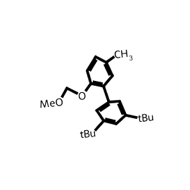 COCOc1ccc(C)cc1-c1cc(C(C)(C)C)cc(C(C)(C)C)c1